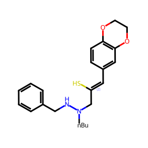 CCCCN(C/C(S)=C/c1ccc2c(c1)OCCO2)NCc1ccccc1